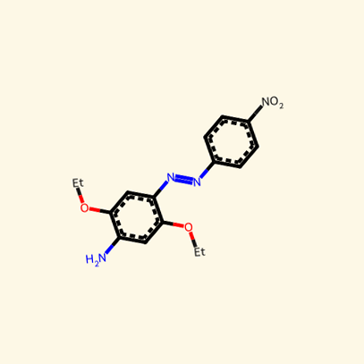 [CH2]COc1cc(N=Nc2ccc([N+](=O)[O-])cc2)c(OC[CH2])cc1N